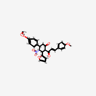 COc1ccc(C=CC(=O)C2C(=O)CC(c3ccc(OC)cc3)C([N+](=O)[O-])C2c2ccco2)cc1